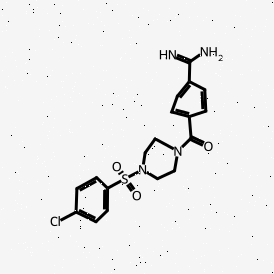 N=C(N)c1ccc(C(=O)N2CCN(S(=O)(=O)c3ccc(Cl)cc3)CC2)cc1